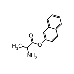 C[C@H](N)C(=O)Oc1ccc2ccccc2c1